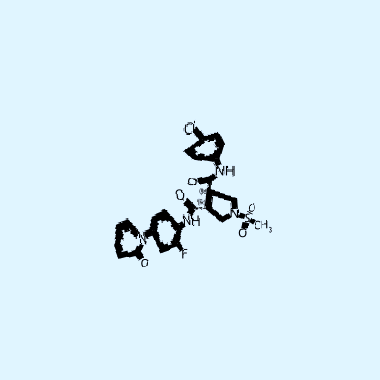 CS(=O)(=O)N1C[C@H](C(=O)Nc2ccc(Cl)cc2)[C@@H](C(=O)Nc2ccc(-n3ccccc3=O)cc2F)C1